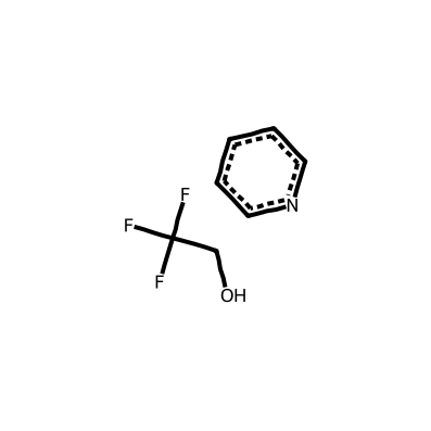 OCC(F)(F)F.c1ccncc1